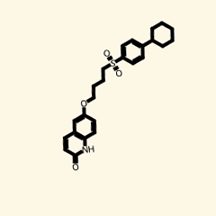 O=c1ccc2cc(OCCCCS(=O)(=O)c3ccc(C4CCCCC4)cc3)ccc2[nH]1